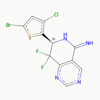 N=C1N[C@H](c2sc(Br)cc2Cl)C(F)(F)c2ncncc21